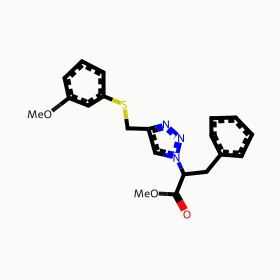 COC(=O)C(Cc1ccccc1)n1cc(CSc2cccc(OC)c2)nn1